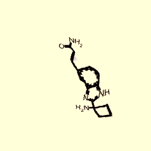 NC(=O)/C=C/c1ccc2[nH]c(C3(N)CCC3)nc2c1